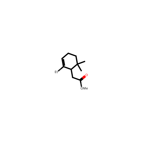 CCC1=CCCC(C)(C)C1CC(=O)OC